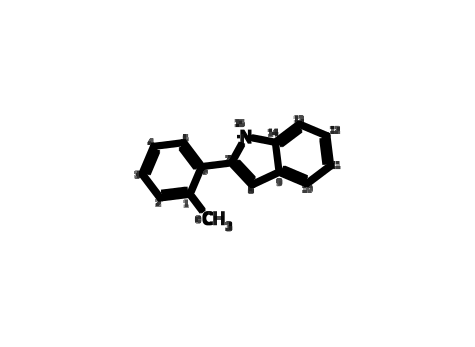 Cc1ccccc1C1=Cc2ccccc2[N]1